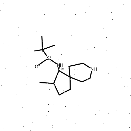 CC1CCC2(CCNCC2)[C@@H]1N[S+]([O-])C(C)(C)C